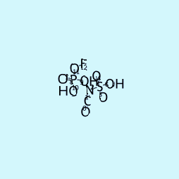 O=C=NS(=O)(=O)O.O=P(O)(O)OF